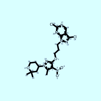 Cc1c([N+](=O)[O-])c(OCCCn2nc(Cl)c3cnc(Cl)nc32)nn1C1CCOC(C)(C)C1